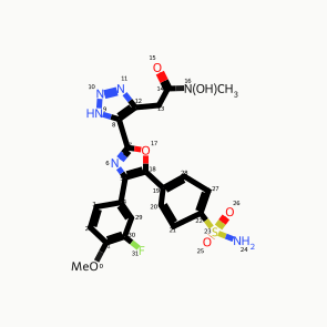 COc1ccc(-c2nc(-c3[nH]nnc3CC(=O)N(C)O)oc2-c2ccc(S(N)(=O)=O)cc2)cc1F